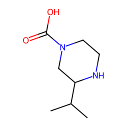 CC(C)C1CN(C(=O)O)CCN1